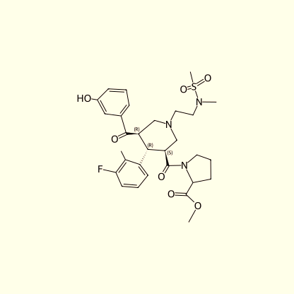 COC(=O)C1CCCN1C(=O)[C@@H]1CN(CCN(C)S(C)(=O)=O)C[C@H](C(=O)c2cccc(O)c2)[C@H]1c1cccc(F)c1C